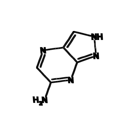 Nc1cnc2c[nH]nc2n1